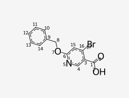 O=C(O)c1cnc(OCc2ccccc2)cc1Br